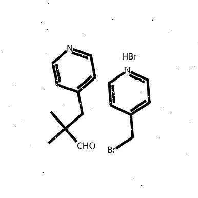 Br.BrCc1ccncc1.CC(C)(C=O)Cc1ccncc1